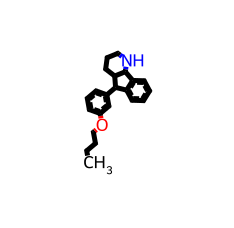 CCCCOc1cccc(C2c3ccccc3C3NCCCC32)c1